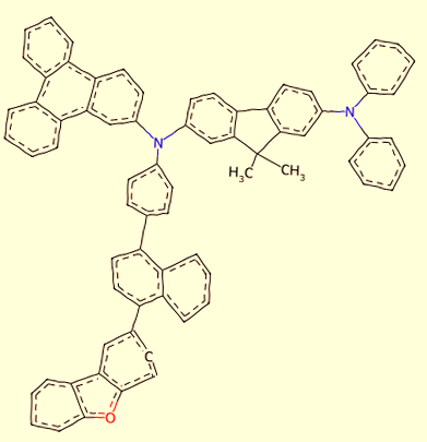 CC1(C)c2cc(N(c3ccccc3)c3ccccc3)ccc2-c2ccc(N(c3ccc(-c4ccc(-c5ccc6oc7ccccc7c6c5)c5ccccc45)cc3)c3ccc4c5ccccc5c5ccccc5c4c3)cc21